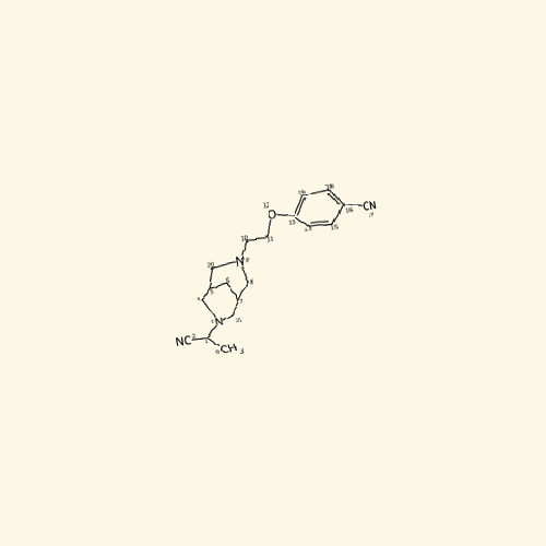 CC(C#N)N1CC2CC(CN(CCOc3ccc(C#N)cc3)C2)C1